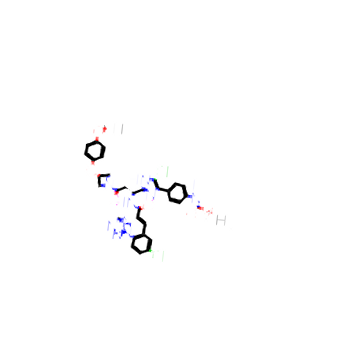 COC(=O)Nc1ccc(-c2nc([C@H](CC(=O)N3CC(Oc4ccc(OC)cc4)C3)NC(=O)C=Cc3cc(Cl)ccc3-n3ncnn3)[nH]c2Cl)cc1